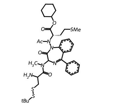 CSCC[C@@H](C(=O)OC1CCCCC1)N(C(C)=O)N1C(=O)C(N(C)C(=O)C(N)CSSC(C)(C)C)N=C(c2ccccc2)c2ccccc21